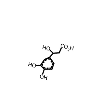 O=C(O)CC(O)c1ccc(O)c(O)c1